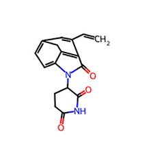 C=CC1=CC2=CC=C3C(=C1C(=O)N3C1CCC(=O)NC1=O)C2